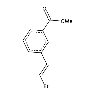 CC/C=C/c1cccc(C(=O)OC)c1